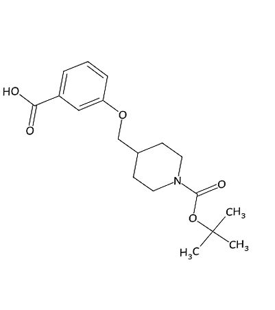 CC(C)(C)OC(=O)N1CCC(COc2cccc(C(=O)O)c2)CC1